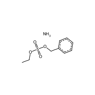 CCOS(=O)(=O)OCc1ccccc1.N